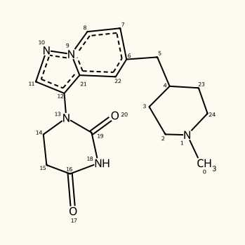 CN1CCC(Cc2ccn3ncc(N4CCC(=O)NC4=O)c3c2)CC1